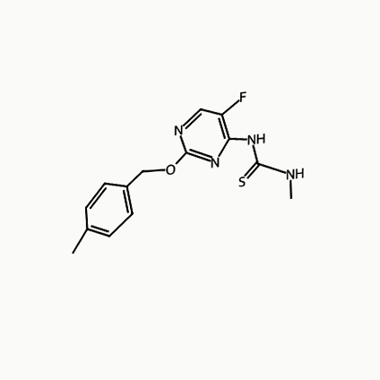 CNC(=S)Nc1nc(OCc2ccc(C)cc2)ncc1F